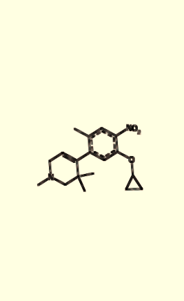 Cc1cc([N+](=O)[O-])c(OC2CC2)cc1C1=CCN(C)CC1(C)C